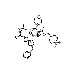 C[C@@H](OCC1CCC(F)(F)CC1)[C@H](NC(=O)[C@@H]1CN(Cc2ccccc2)CC12CN(C(=O)[C@H]1CC1(C)C)C2)C(=O)N1CCOCC1